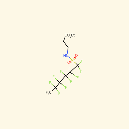 CCOC(=O)CCNS(=O)(=O)C(F)(F)C(F)(F)C(F)(F)C(F)(F)C(F)(F)C(F)(F)F